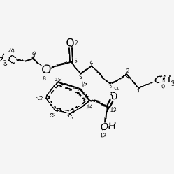 CCCCCCC(=O)OCC.O=C(O)c1ccccc1